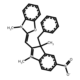 CN1/C(=C/C2=[N+](C)c3ccc([N+](=O)[O-])cc3C2(C)Cc2ccccc2)Oc2ccccc21